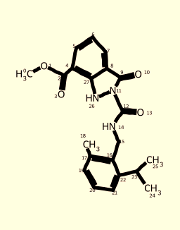 COC(=O)c1cccc2c(=O)n(C(=O)NCc3c(C)cccc3C(C)C)[nH]c12